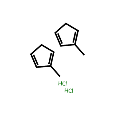 CC1=CCC=C1.CC1=CCC=C1.Cl.Cl